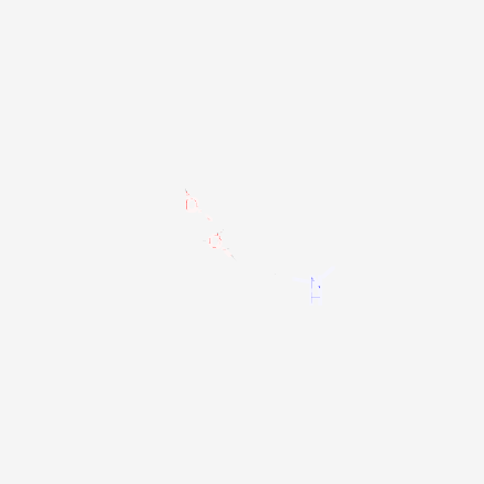 CC1(C)OC2C3=C4CCC2(CCC4=CC=CN3)O1